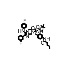 CCCCC(=O)Nc1ccc(C[C@](C=O)(NC(=O)OC(C)(C)C)N2CCn3c(nc(-c4cccc(F)c4)c3Nc3ccc(F)cc3)C2)cc1